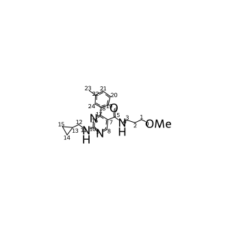 COCCCNC(=O)c1cnc(NCC2CC2)nc1-c1cccc(C)c1